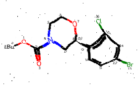 CC(C)(C)OC(=O)N1CCO[C@@H](c2ccc(Br)cc2Cl)C1